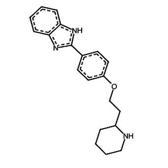 c1ccc2[nH]c(-c3ccc(OCCC4CCCCN4)cc3)nc2c1